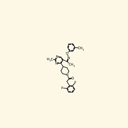 CC(=NOc1cccc(C)c1)c1cnc(C)nc1C1CCN(C(=O)Cc2c(F)cccc2F)CC1